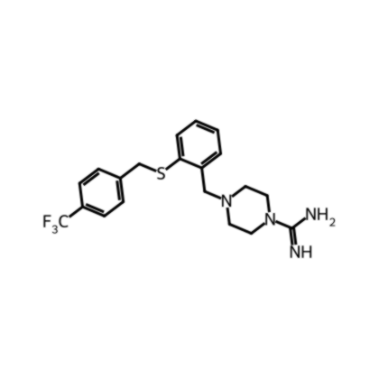 N=C(N)N1CCN(Cc2ccccc2SCc2ccc(C(F)(F)F)cc2)CC1